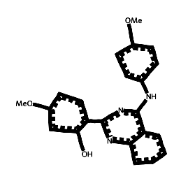 COc1ccc(Nc2nc(-c3ccc(OC)cc3O)nc3ccccc23)cc1